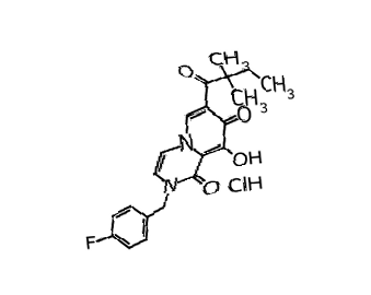 CCC(C)(C)C(=O)c1cn2ccn(Cc3ccc(F)cc3)c(=O)c2c(O)c1=O.Cl